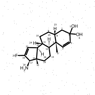 C[C@]12C=CC(O)(O)C[C@H]1CC[C@@H]1[C@@H]2CC[C@]2(C)[C@@H](N)C(F)=C[C@@H]12